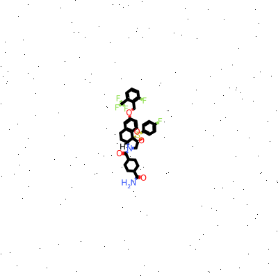 NC(=O)C1CCC(C(=O)N2CC[C@@]3(S(=O)(=O)c4ccc(F)cc4)c4ccc(OCc5c(F)cccc5C(F)(F)F)cc4CC[C@@H]23)CC1